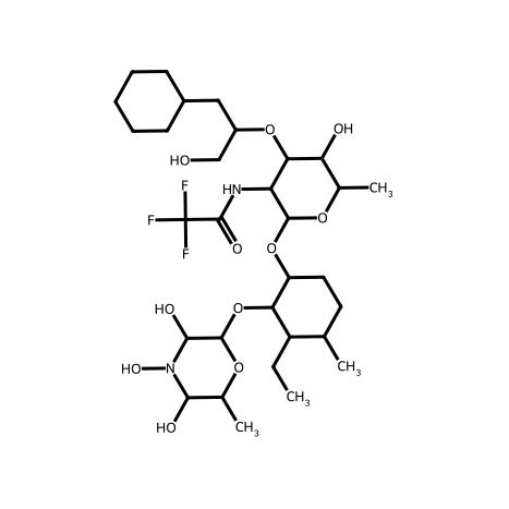 CCC1C(C)CCC(OC2OC(C)C(O)C(OC(CO)CC3CCCCC3)C2NC(=O)C(F)(F)F)C1OC1OC(C)C(O)N(O)C1O